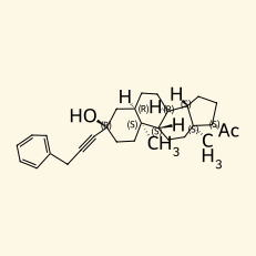 CC(=O)[C@H]1CC[C@H]2[C@@H]3CC[C@@H]4C[C@@](O)(C#CCc5ccccc5)CC[C@]4(C)[C@H]3CC[C@]12C